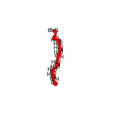 Cn1cc(NC(=O)c2nc(NC(=O)CCNC(=O)c3cc(NC(=O)c4nccn4CCCCCC(=O)OC(C)(C)C)cn3C)cn2C)cc1C(=O)NCCCC(=O)Nc1cn(C)c(C(=O)NCCC(=O)Nc2cc(C(=O)Nc3cn(C)c(C(=O)NCCC(=O)N4CCCCC4)n3)n(C)c2)n1